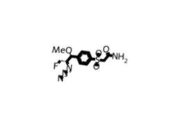 CO[C@H](c1ccc(S(=O)(=O)CC(N)=O)cc1)[C@@H](CF)N=[N+]=[N-]